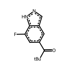 CC(C)(C)C(=O)c1cc(F)c2[nH]ncc2c1